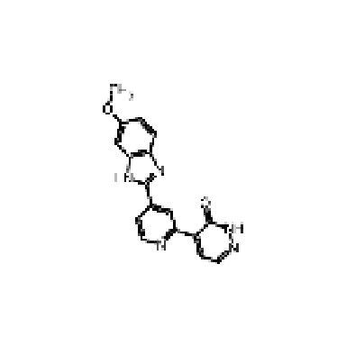 COc1ccc2nc(-c3ccnc(-c4ccn[nH]c4=O)c3)[nH]c2c1